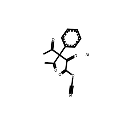 CC(=O)C(C(C)=O)(C(=O)C(=O)OC#N)c1ccccc1.[Ni]